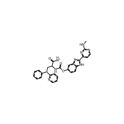 CNc1nccc(-c2nc3cc(OC(=O)NC(CN(c4ccccc4)c4ccccn4)C(N)=O)ccc3[nH]2)n1